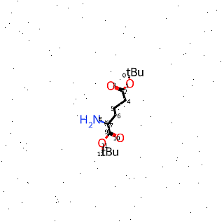 CC(C)(C)OC(=O)CCC[C@H](N)C(=O)OC(C)(C)C